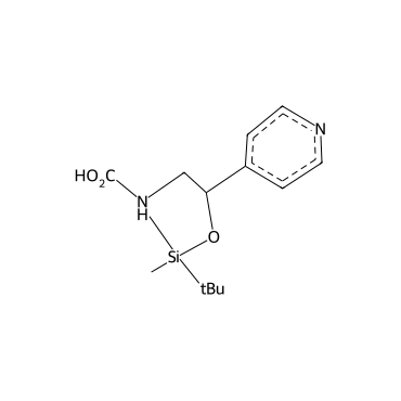 CC(C)(C)[Si](C)(C)OC(CNC(=O)O)c1ccncc1